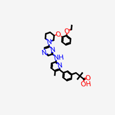 CCOc1ccccc1O[C@@H]1CCCN(c2cncc(Nc3ccc(C)c(-c4cccc(CC(C)(C)C(=O)O)c4)n3)n2)C1